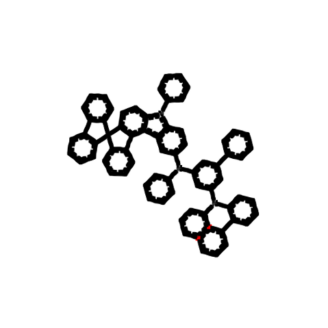 c1ccc(-c2cc(N(c3ccccc3)c3ccc4c(c3)c3c5c(ccc3n4-c3ccccc3)C3(c4ccccc4-c4ccccc43)c3ccccc3-5)cc(N(c3ccccc3)c3ccccc3-c3ccccc3)c2)cc1